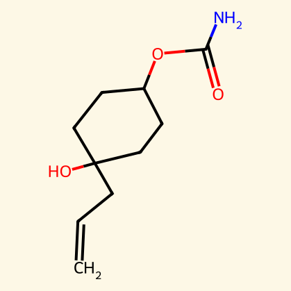 C=CCC1(O)CCC(OC(N)=O)CC1